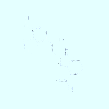 COc1ccc(/C=C/c2nc3c(C(=O)O)cccc3[nH]2)cc1OC.Cl